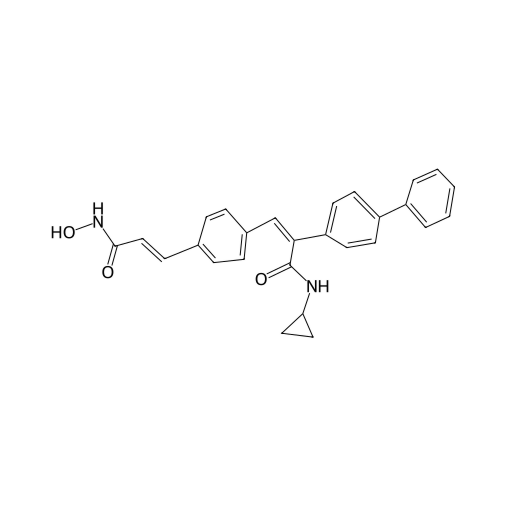 O=C(/C=C/c1ccc(/C=C(\C(=O)NC2CC2)c2ccc(-c3ccccc3)cc2)cc1)NO